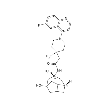 CC1(CC(=O)N[C@]2(C)C[C@@H]3CC4CC(O)(CC43)C2)CCN(c2ccnc3ccc(F)cc23)CC1